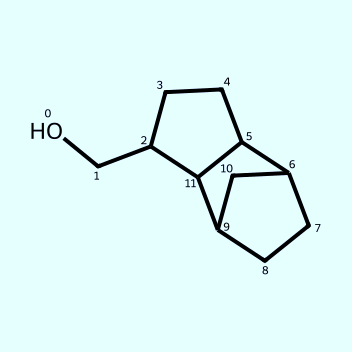 OCC1CCC2C3CCC(C3)C12